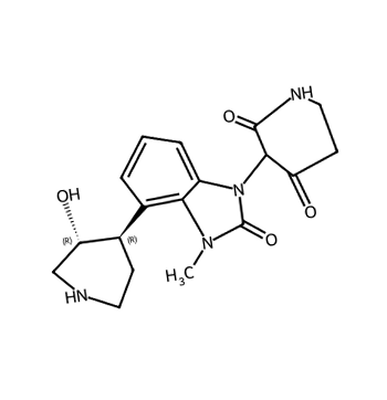 Cn1c(=O)n(C2C(=O)CCNC2=O)c2cccc([C@H]3CCNC[C@@H]3O)c21